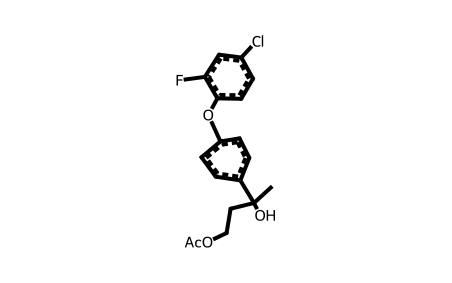 CC(=O)OCCC(C)(O)c1ccc(Oc2ccc(Cl)cc2F)cc1